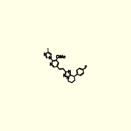 COc1cc(/C=C/c2nc3n(n2)CCCC3c2ccc(F)cc2)cnc1-n1cnc(C)c1